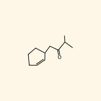 CC(C)C(=O)CC1C=CCCC1